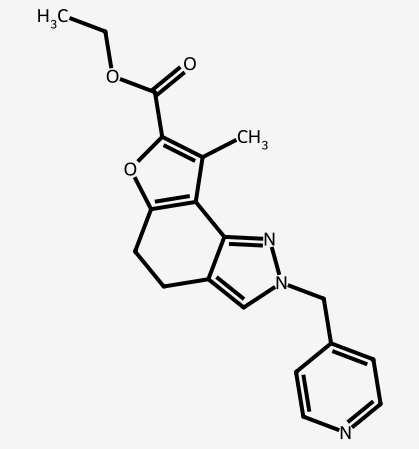 CCOC(=O)c1oc2c(c1C)-c1nn(Cc3ccncc3)cc1CC2